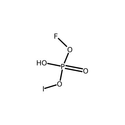 O=P(O)(OF)OI